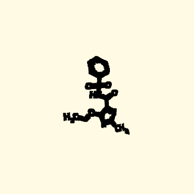 CCOc1nc(C)sc1C(=O)NS(=O)(=O)c1ccccc1